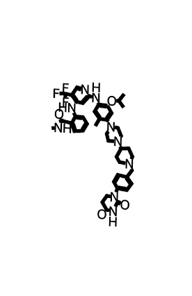 CNC(=O)c1ccccc1Nc1cc(Nc2cc(C)c(N3CCN(C4CCN(Cc5ccc(N6CCC(=O)NC6=O)cc5)CC4)CC3)cc2OC(C)C)ncc1C(F)(F)F